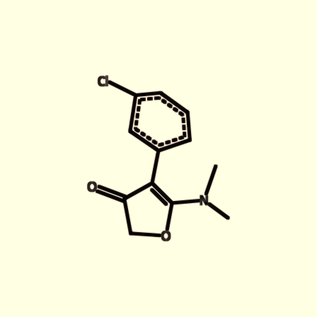 CN(C)C1=C(c2cccc(Cl)c2)C(=O)CO1